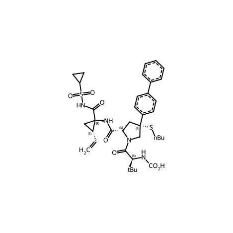 C=C[C@@H]1C[C@]1(NC(=O)[C@@H]1C[C@@](SCCCC)(c2ccc(-c3ccccc3)cc2)CN1C(=O)[C@@H](NC(=O)O)C(C)(C)C)C(=O)NS(=O)(=O)C1CC1